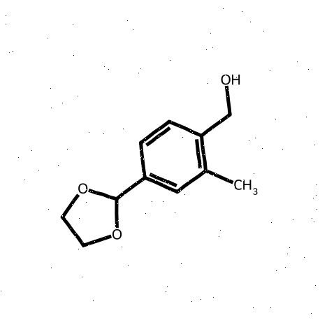 Cc1cc(C2OCCO2)ccc1CO